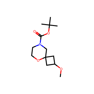 COC1CC2(C1)CN(C(=O)OC(C)(C)C)CCO2